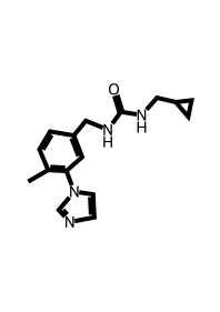 Cc1ccc(CNC(=O)NCC2CC2)cc1-n1ccnc1